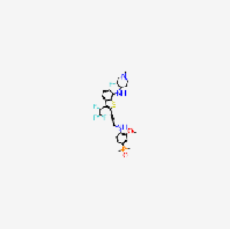 COc1cc(P(C)(C)=O)ccc1NCC#Cc1sc2c(NC3CCN(C)CC3F)cccc2c1C(F)C(F)F